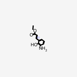 CCOC(=O)/C=C/c1cccc(N)c1O